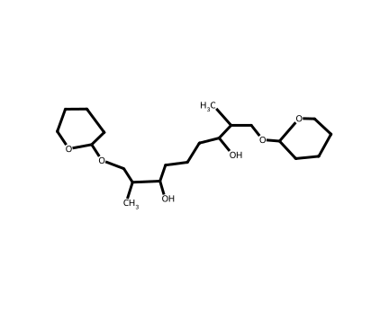 CC(COC1CCCCO1)C(O)CCCC(O)C(C)COC1CCCCO1